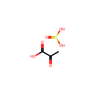 CC(=O)C(=O)O.O=S(O)O